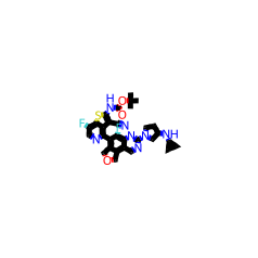 CC(C)(C)OC(=O)Nc1sc2c(F)cnc(-c3c4c(c5cnc(N6CCC(NC7CC7)C6)nc5c3F)COC4)c2c1C#N